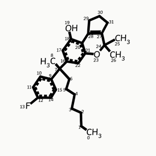 CCCCCCCC(C)(c1ccc(F)cc1)c1cc(O)c2c(c1)OC(C)(C)C1=C2CCC1